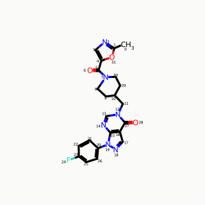 Cc1ncc(C(=O)N2CCC(Cn3cnc4c(cnn4-c4ccc(F)cc4)c3=O)CC2)o1